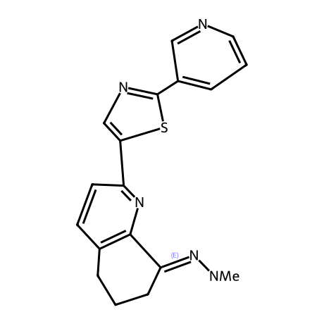 CN/N=C1\CCCc2ccc(-c3cnc(-c4cccnc4)s3)nc21